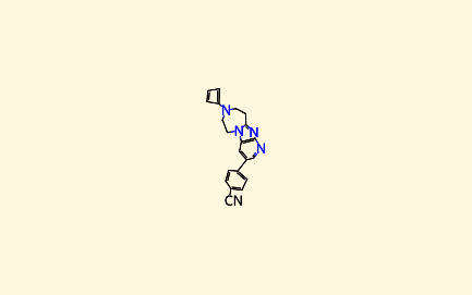 N#Cc1ccc(-c2cnc3nc4n(c3c2)CCN(C2=CC=C2)CC4)cc1